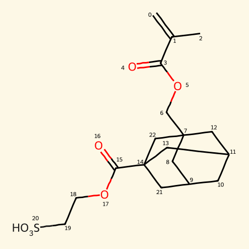 C=C(C)C(=O)OCC12CC3CC(C1)CC(C(=O)OCCS(=O)(=O)O)(C3)C2